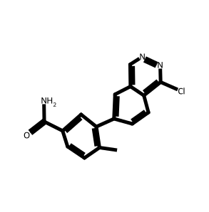 Cc1ccc(C(N)=O)cc1-c1ccc2c(Cl)nncc2c1